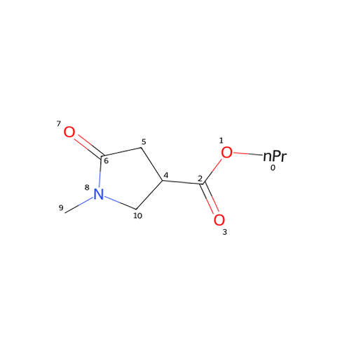 CCCOC(=O)C1CC(=O)N(C)C1